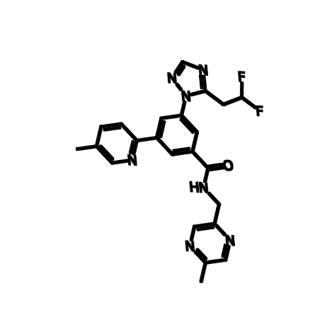 Cc1ccc(-c2cc(C(=O)NCc3cnc(C)cn3)cc(-n3ncnc3CC(F)F)c2)nc1